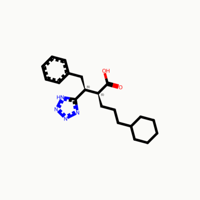 O=C(O)[C@@H](CCCC1CCCCC1)[C@H](Cc1ccccc1)c1nnn[nH]1